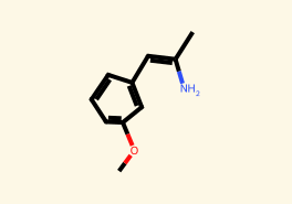 COc1cccc(/C=C(/C)N)c1